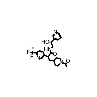 CC(=O)N1CCC(CC(C(=O)NC[C@@H](O)c2cccnc2)c2ccc(C(F)(F)F)nc2)CC1